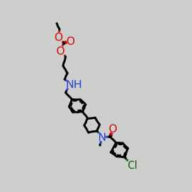 CCOC(=O)OCCCCNCc1ccc(C2CCC(N(C)C(=O)c3ccc(Cl)cc3)CC2)cc1